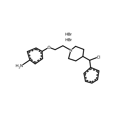 Br.Br.Nc1ccc(OCCN2CCC(C(Cl)c3ccccc3)CC2)cc1